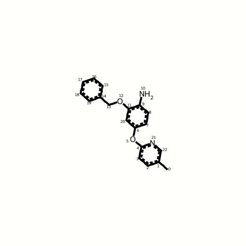 Cc1ccc(Oc2ccc(N)c(OCc3ccccc3)c2)nc1